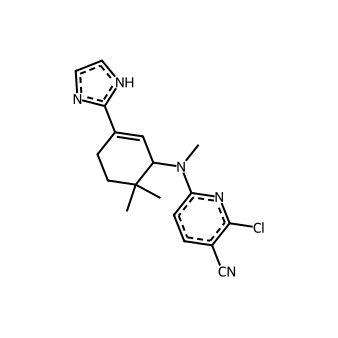 CN(c1ccc(C#N)c(Cl)n1)C1C=C(c2ncc[nH]2)CCC1(C)C